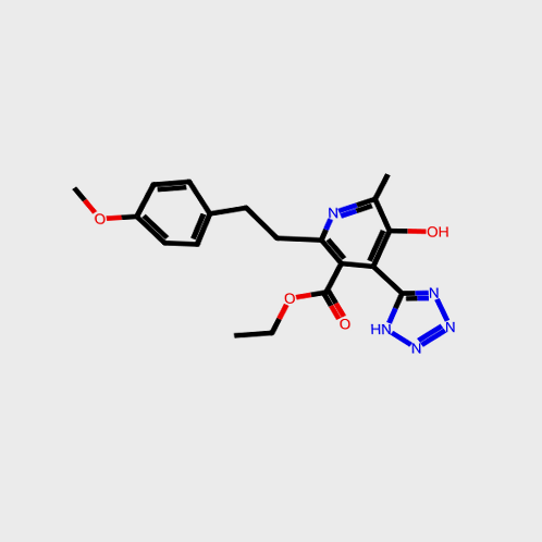 CCOC(=O)c1c(CCc2ccc(OC)cc2)nc(C)c(O)c1-c1nnn[nH]1